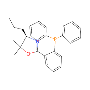 CCC[C@H]1N=C(c2ccccc2P(c2ccccc2)c2ccccc2)OC1(C)C